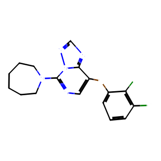 Clc1cccc(Sc2cnc(N3CCCCCC3)n3ncnc23)c1Cl